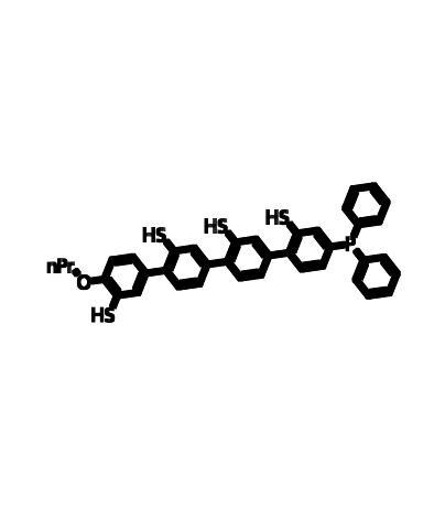 CCCOc1ccc(-c2ccc(-c3ccc(-c4ccc(P(c5ccccc5)c5ccccc5)cc4S)cc3S)cc2S)cc1S